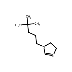 CC(C)(C)CCCN1C=NCC1